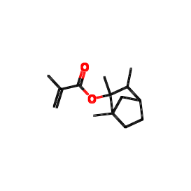 C=C(C)C(=O)OC1(C)C(C)C2CCC1(C)C2